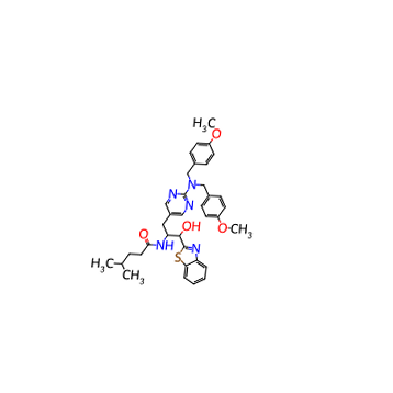 COc1ccc(CN(Cc2ccc(OC)cc2)c2ncc(CC(NC(=O)CCC(C)C)C(O)c3nc4ccccc4s3)cn2)cc1